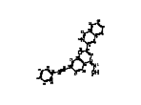 O/N=c1/cc(-c2cc3ccccc3cn2)oc2cc(C#Cc3ccccn3)ccc12